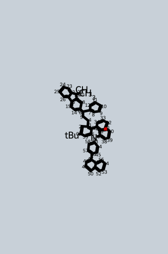 CC(C)(C)c1cc(CCC(c2ccccc2)c2ccc3c(c2)C(C)(C)c2ccccc2-3)c(-c2ccccc2)c(N(c2ccccc2)c2ccc(-c3cccc4ccccc34)cc2)c1